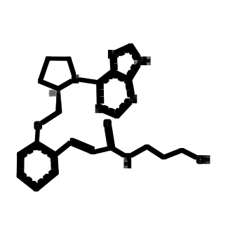 O=C(C=Cc1ccccc1OC[C@H]1CCCN1c1ncnc2[nH]cnc12)NCCCO